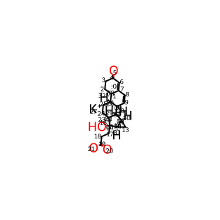 C[C@]12CCC(=O)C=C1C=C[C@H]1[C@@H]3[C@H]4C[C@H]4[C@@](O)(CCC(=O)[O-])[C@@]3(C)CC[C@@H]12.[K+]